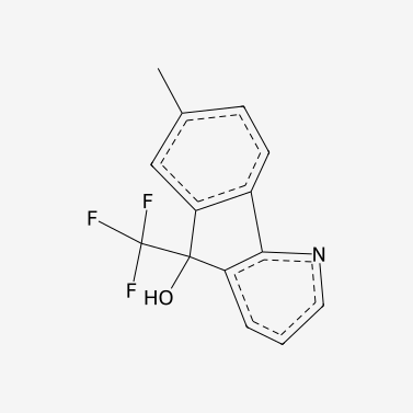 Cc1ccc2c(c1)C(O)(C(F)(F)F)c1cccnc1-2